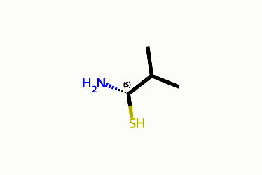 CC(C)[C@@H](N)S